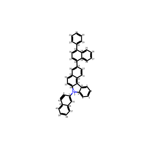 c1c(-n2c3ccccc3c3c4ccc(-c5ccc(-c6ccccc6)c6ccccc56)cc4ccc32)cc2ccccc2c#1